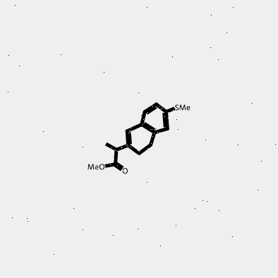 COC(=O)C(C)C1=Cc2ccc(SC)cc2CC1